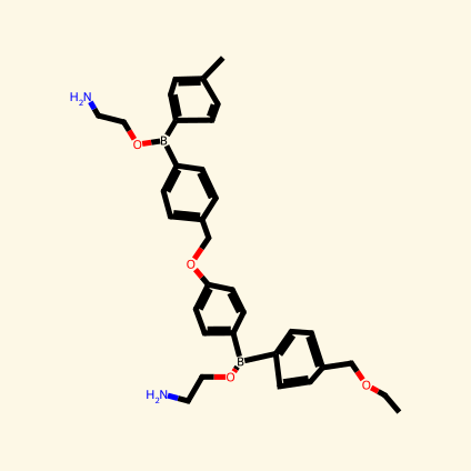 CCOCc1ccc(B(OCCN)c2ccc(OCc3ccc(B(OCCN)c4ccc(C)cc4)cc3)cc2)cc1